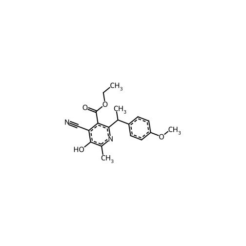 CCOC(=O)c1c(C(C)c2ccc(OC)cc2)nc(C)c(O)c1C#N